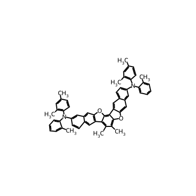 Cc1ccc(N(c2ccc3cc4c(cc3c2)oc2c4c(C)c(C)c3oc4cc5cc(N(c6ccccc6C)c6ccc(C)cc6C)ccc5cc4c32)c2ccccc2C)c(C)c1